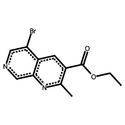 CCOC(=O)c1cc2c(Br)cncc2nc1C